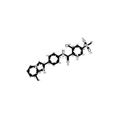 Cc1cccn2cc(-c3ccc(NC(=O)c4ncc(S(C)(=O)=O)cc4Cl)cc3)nc12